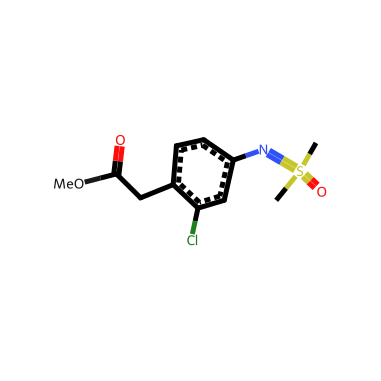 COC(=O)Cc1ccc(N=S(C)(C)=O)cc1Cl